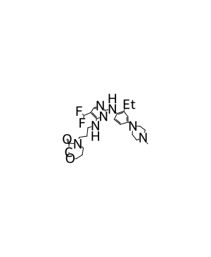 CCc1cc(N2CCN(C)CC2)ccc1Nc1ncc(C(F)F)c(NCCCN2CCCOCC2=O)n1